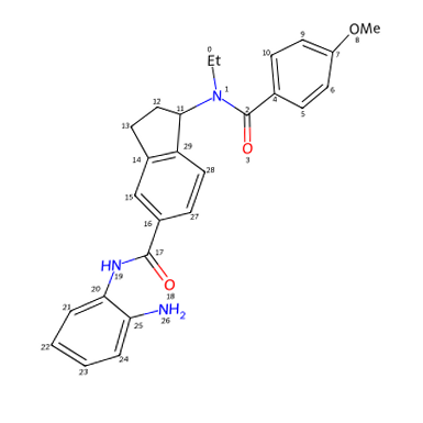 CCN(C(=O)c1ccc(OC)cc1)C1CCc2cc(C(=O)Nc3ccccc3N)ccc21